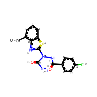 COc1cccc2sc(N(NC(=O)c3ccc(Cl)cc3)C(N)=O)nc12